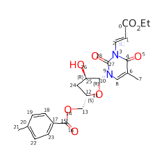 CCOC(=O)/C=C/n1c(=O)c(C)cn([C@@H]2O[C@H](COC(=O)c3ccc(C)cc3)C[C@H]2O)c1=O